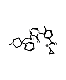 Cc1ccc(C(=O)NC2CC2)cc1-n1ccnc(NCC2(c3ccccc3)CCN(C)CC2)c1=O